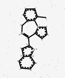 Cc1cccc2c1-n1cccc1C(c1cc3ccccc3s1)=NC2